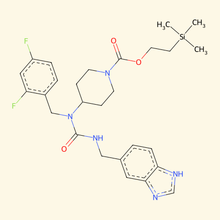 C[Si](C)(C)CCOC(=O)N1CCC(N(Cc2ccc(F)cc2F)C(=O)NCc2ccc3[nH]cnc3c2)CC1